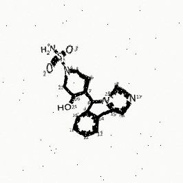 NS(=O)(=O)N1CCC(C2c3ccccc3-c3cncn32)C(O)C1